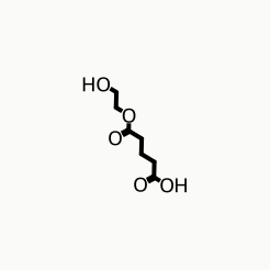 O=C(O)CCCC(=O)OCCO